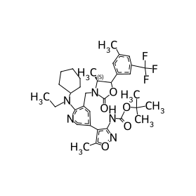 CCN(c1ncc(-c2c(NC(=O)OC(C)(C)C)noc2C)cc1CN1C(=O)OC(c2cc(C)cc(C(F)(F)F)c2)[C@@H]1C)C1CCCCC1